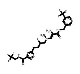 N/C(=C\N(N)CC(F)CCc1nnc(C(=O)NCC(F)(F)F)s1)C(=O)NCc1cncc(C(F)(F)F)c1